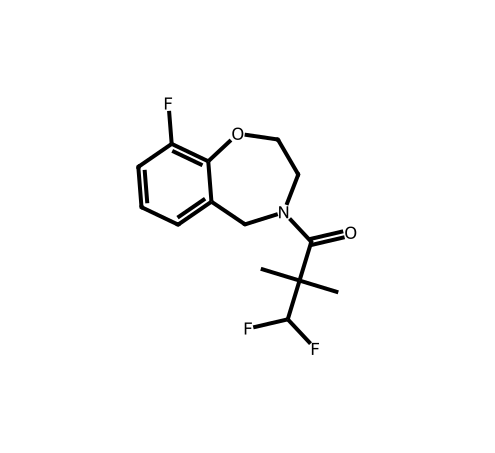 CC(C)(C(=O)N1CCOc2c(F)cccc2C1)C(F)F